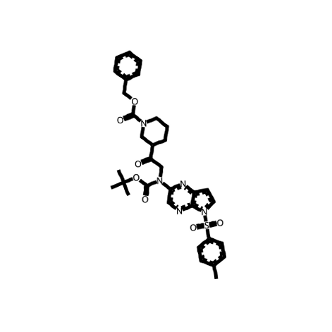 Cc1ccc(S(=O)(=O)n2ccc3nc(N(CC(=O)C4CCCN(C(=O)OCc5ccccc5)C4)C(=O)OC(C)(C)C)cnc32)cc1